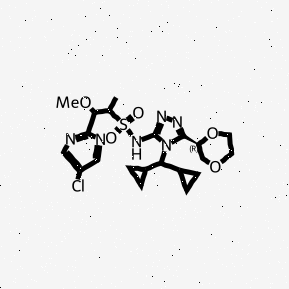 COC(c1ncc(Cl)cn1)C(C)S(=O)(=O)Nc1nnc([C@@H]2COCCO2)n1C(C1CC1)C1CC1